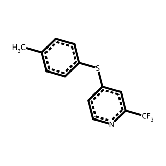 Cc1ccc(Sc2ccnc(C(F)(F)F)c2)cc1